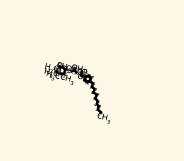 CCCCCCCCCCCCc1ccc(S(=O)(=O)OCC(O)COC2CC(C)(C)N(C)C(C)(C)C2)cc1